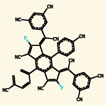 C=C(C#N)/C=C\C(=C)c1c2c(c(-c3ccc(C#N)cc3)c3c1C(C#N)=C(F)/C3=C(/C#N)c1cc(C#N)cc(C#N)c1)/C(=C(\C#N)c1cc(C#N)cc(C#N)c1)C(F)=C2C#N